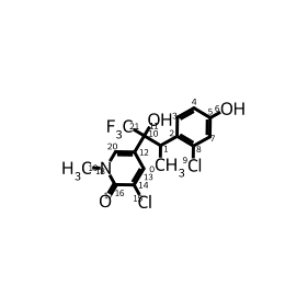 CC(c1ccc(O)cc1Cl)C(O)(c1cc(Cl)c(=O)n(C)c1)C(F)(F)F